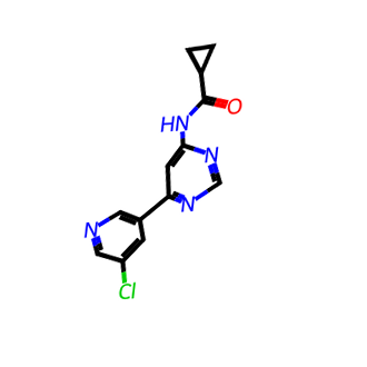 O=C(Nc1cc(-c2cncc(Cl)c2)ncn1)C1CC1